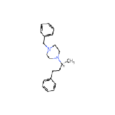 C[C@H](CCc1ccccc1)N1CCN(Cc2ccccc2)CC1